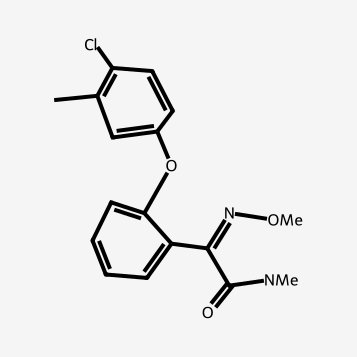 CNC(=O)/C(=N\OC)c1ccccc1Oc1ccc(Cl)c(C)c1